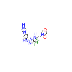 Cc1cc(N2CCNCC2)ccc1Nc1ncc(C(F)(F)F)c(NCCCN2CCOCCC2=O)n1